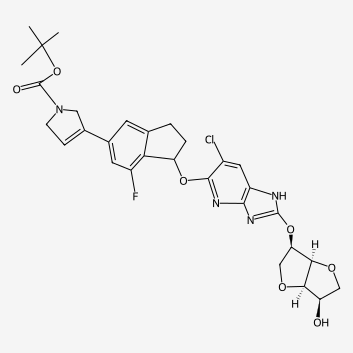 CC(C)(C)OC(=O)N1CC=C(c2cc(F)c3c(c2)CCC3Oc2nc3nc(O[C@@H]4CO[C@H]5[C@@H]4OC[C@H]5O)[nH]c3cc2Cl)C1